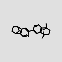 CC12CCC(C)(O1)c1cc(-c3cc4c(cn3)C3CCC4C3)ccc12